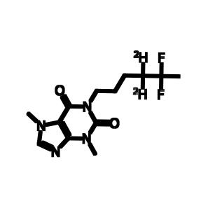 [2H]C([2H])(CCCn1c(=O)c2c(ncn2C)n(C)c1=O)C(C)(F)F